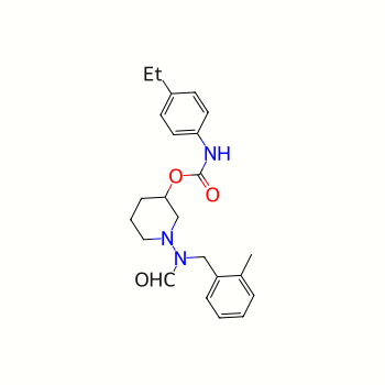 CCc1ccc(NC(=O)OC2CCCN(N(C=O)Cc3ccccc3C)C2)cc1